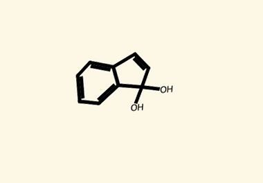 OC1(O)C=Cc2ccccc21